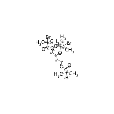 CC(C)(Br)C(=O)OCCC(COC(=O)C(C)(C)Br)OC(=O)C(C)(C)Br